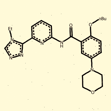 CCCCOc1ccc(N2CCOCC2)cc1C(=O)Nc1cccc(-c2nncn2CC)n1